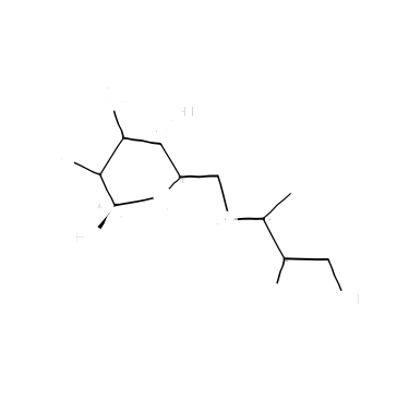 OC(CS)C(O)OCC1O[C@@H](O)C(O)C(O)[C@@H]1O